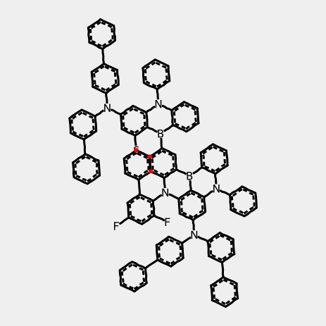 Fc1cc(F)c(N2c3cc4c(cc3B3c5ccccc5N(c5ccccc5)c5cc(N(c6ccc(-c7ccccc7)cc6)c6cccc(-c7ccccc7)c6)cc2c53)B2c3ccccc3N(c3ccccc3)c3cc(N(c5ccc(-c6ccccc6)cc5)c5cccc(-c6ccccc6)c5)cc(c32)S4)c(-c2ccccc2)c1